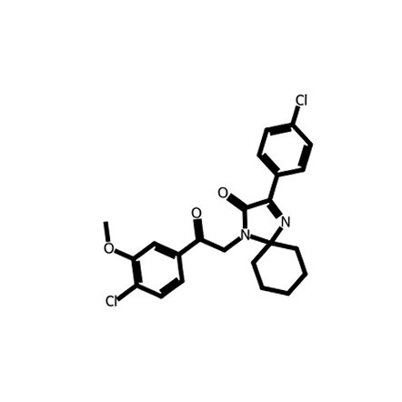 COc1cc(C(=O)CN2C(=O)C(c3ccc(Cl)cc3)=NC23CCCCC3)ccc1Cl